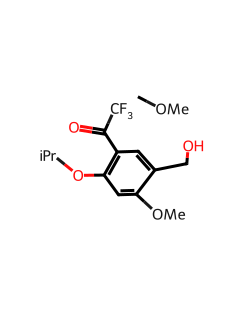 COC.COc1cc(OC(C)C)c(C(=O)C(F)(F)F)cc1CO